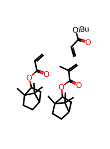 C=C(C)C(=O)OC1CC2CCC1(C)C2(C)C.C=CC(=O)OC1CC2CCC1(C)C2(C)C.C=CC(=O)OCC(C)C